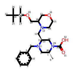 C[C@@H]1CN(Cc2ccccc2)[C@@H](CN2CCOCC2CO[Si](C)(C)C(C)(C)C)CN1C(=O)O